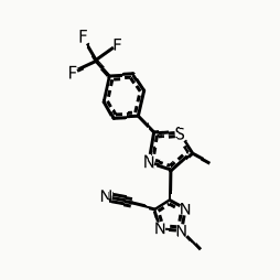 Cc1sc(-c2ccc(C(F)(F)F)cc2)nc1-c1nn(C)nc1C#N